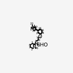 CN1CCCC[C@H]1N(C=O)CCCOc1c[c]cc(-c2cnn(C)c2)c1